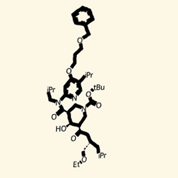 CCOC[C@H](CC(=O)[C@@H]1CN(C(=O)OC(C)(C)C)C[C@H](C(=O)N(CC(C)C)c2cc(OCCCOCc3ccccc3)c(C(C)C)cn2)[C@@H]1O)CC(C)C